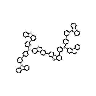 c1cc(-c2cccc3oc4ccccc4c23)cc(N(c2ccc(-c3cccc(-n4c5ccccc5c5ccccc54)c3)cc2)c2ccc3c(ccc4cc(-c5ccc6c(c5)oc5cccc(-c7cccc(N(c8ccc(-c9cccc(-n%10c%11ccccc%11c%11ccccc%11%10)c9)cc8)c8ccc9ccc%10ccccc%10c9c8)c7)c56)ccc43)c2)c1